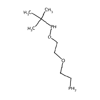 CC(C)(C)POCCOCCP